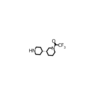 O=C(N1CCC[C@H](C2CCNCC2)C1)C(F)(F)F